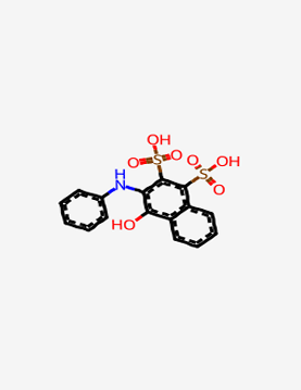 O=S(=O)(O)c1c(Nc2ccccc2)c(O)c2ccccc2c1S(=O)(=O)O